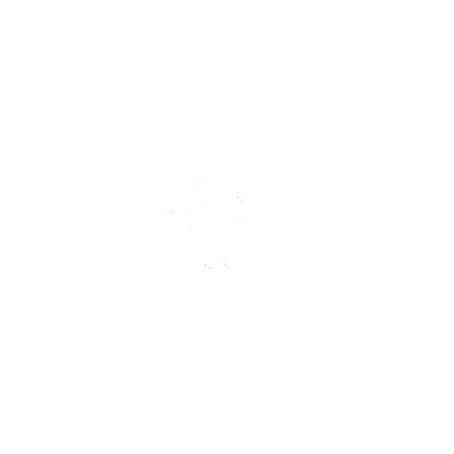 NC(=O)c1cccc2c1c1c3cc[nH]c(=O)c3ccc1n2CCCF